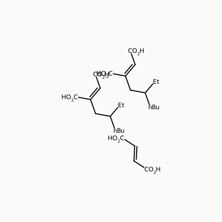 CCCCC(CC)CC(=CC(=O)O)C(=O)O.CCCCC(CC)CC(=CC(=O)O)C(=O)O.O=C(O)C=CC(=O)O